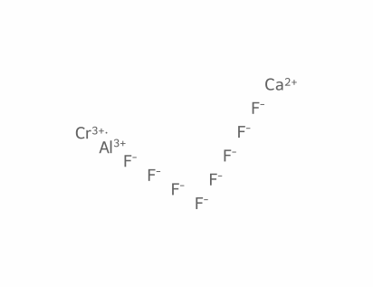 [Al+3].[Ca+2].[Cr+3].[F-].[F-].[F-].[F-].[F-].[F-].[F-].[F-]